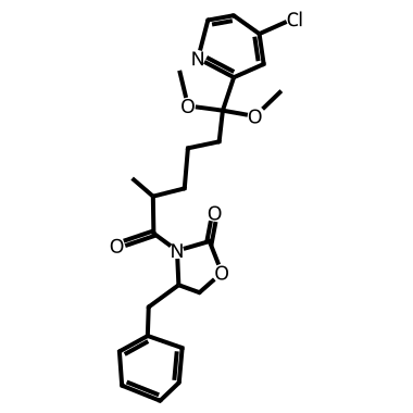 COC(CCCC(C)C(=O)N1C(=O)OCC1Cc1ccccc1)(OC)c1cc(Cl)ccn1